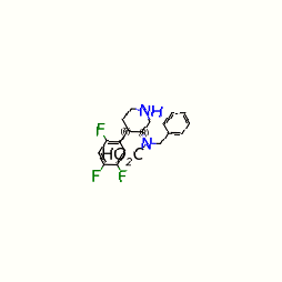 O=C(O)N(Cc1ccccc1)[C@H]1CNCC[C@@H]1c1cc(F)c(F)cc1F